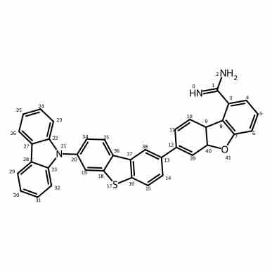 N=C(N)c1cccc2c1C1C=CC(c3ccc4sc5cc(-n6c7ccccc7c7ccccc76)ccc5c4c3)=CC1O2